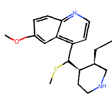 CC[C@H]1CNCC[C@H]1C(SC)c1ccnc2ccc(OC)cc12